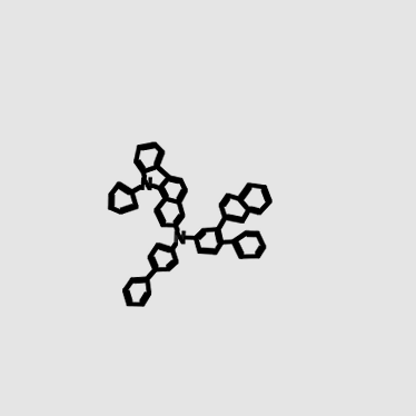 c1ccc(-c2ccc(N(c3ccc(-c4ccccc4)c(-c4ccc5ccccc5c4)c3)c3ccc4c(ccc5c6ccccc6n(-c6ccccc6)c45)c3)cc2)cc1